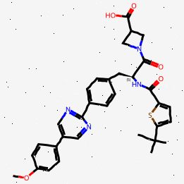 COc1ccc(-c2cnc(-c3ccc(C[C@H](NC(=O)c4ccc(C(C)(C)C)s4)C(=O)N4CC(C(=O)O)C4)cc3)nc2)cc1